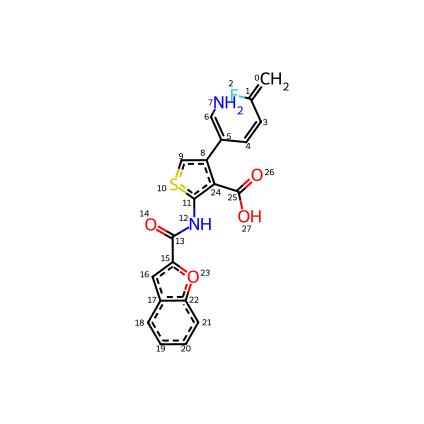 C=C(F)/C=C\C(=C/N)c1csc(NC(=O)c2cc3ccccc3o2)c1C(=O)O